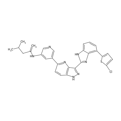 C=C(CC(C)C)Nc1cncc(-c2ccc3[nH]nc(-c4nc5c(-c6ccc(Cl)s6)cccc5[nH]4)c3n2)c1